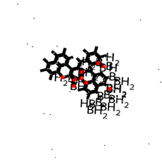 BBB(B)B(B(B)B)c1c(C)c(C)c(B(B)B(B)B)c2c(-c3c4c(C)c(C)c(C)c(C)c4c(C)c4c(-c5c(C)c(C)c(C)c6c(C)c(C)c(C)c(C)c56)c(C)c(C)c(C)c34)c(B(B)B)c(BB)c(B)c12